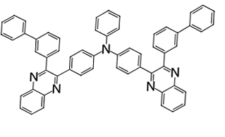 c1ccc(-c2cccc(-c3nc4ccccc4nc3-c3ccc(N(c4ccccc4)c4ccc(-c5nc6ccccc6nc5-c5cccc(-c6ccccc6)c5)cc4)cc3)c2)cc1